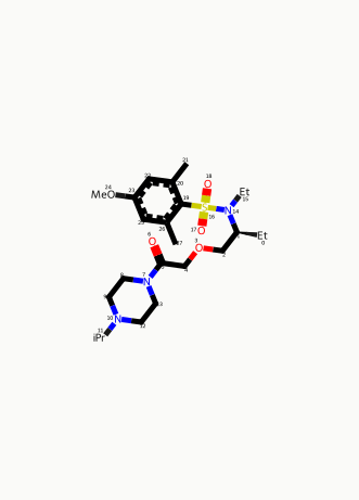 CC[C@@H](COCC(=O)N1CCN(C(C)C)CC1)N(CC)S(=O)(=O)c1c(C)cc(OC)cc1C